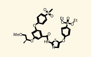 CCOP(=O)(OCC)c1ccc(Oc2cnc(NC(=O)c3cc(Oc4ccc(S(C)(=O)=O)cc4)cc(O[C@@H](C)COC)c3)s2)cc1